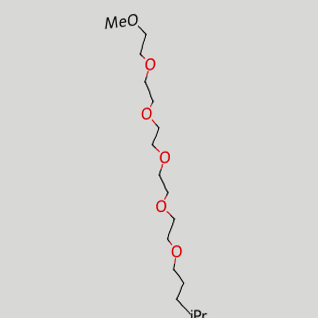 COCCOCCOCCOCCOCCOCCCC(C)C